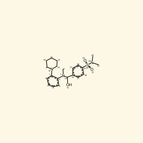 CN(c1ccccc1N1CCCCC1)C(O)c1ccc(S(=O)(=O)N(C)C)cc1